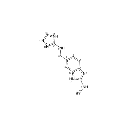 CC(C)Nc1nc2ccc(CNc3nnc[nH]3)cc2[nH]1